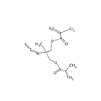 C=C(C)C(=O)OCC(C)(COC(=O)C(=C)C)N=C=S